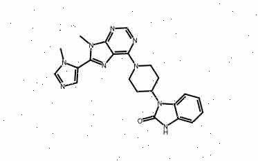 Cn1cncc1-c1nc2c(N3CCC(n4c(=O)[nH]c5ccccc54)CC3)ncnc2n1C